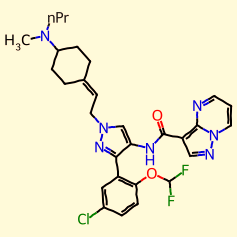 CCCN(C)C1CCC(=CCn2cc(NC(=O)c3cnn4cccnc34)c(-c3cc(Cl)ccc3OC(F)F)n2)CC1